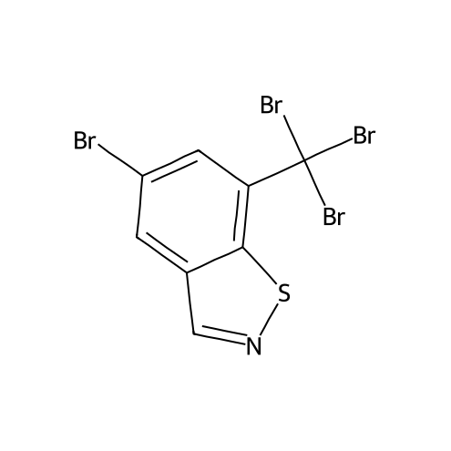 Brc1cc(C(Br)(Br)Br)c2sncc2c1